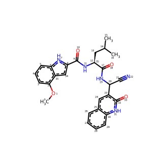 COc1cccc2[nH]c(C(=O)N[C@@H](CC(C)C)C(=O)NC(C#N)c3cc4ccccc4[nH]c3=O)cc12